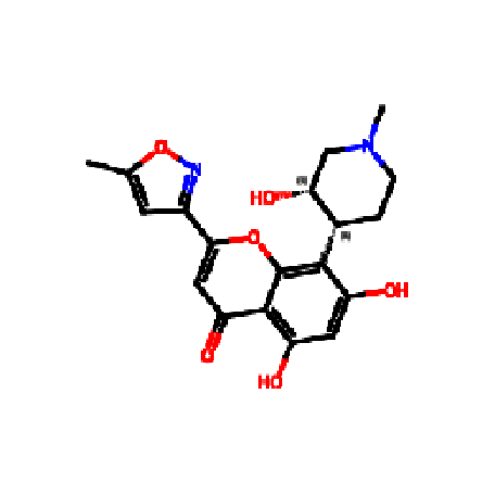 Cc1cc(-c2cc(=O)c3c(O)cc(O)c([C@H]4CCN(C)C[C@H]4O)c3o2)no1